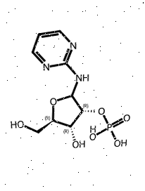 O=P(O)(O)O[C@H]1C(Nc2ncccn2)O[C@H](CO)[C@H]1O